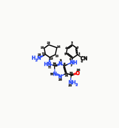 N#Cc1ccccc1Nc1nc(N[C@@H]2CCCC[C@@H]2N)nnc1C(N)=O